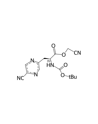 CC(C)(C)OC(=O)N[C@@H](Cc1cnc(C#N)cn1)C(=O)OCC#N